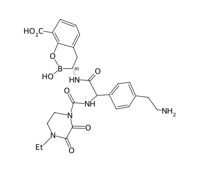 CCN1CCN(C(=O)NC(C(=O)N[C@H]2Cc3cccc(C(=O)O)c3OB2O)c2ccc(CCN)cc2)C(=O)C1=O